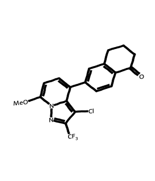 COc1ccc(-c2ccc3c(c2)CCCC3=O)c2c(Cl)c(C(F)(F)F)nn12